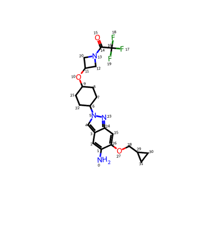 Nc1cc2cn(C3CCC(OC4CN(C(=O)C(F)(F)F)C4)CC3)nc2cc1OCC1CC1